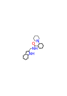 O=C(NCc1cc2ccccc2[nH]1)c1ccccc1N1CCCCC1